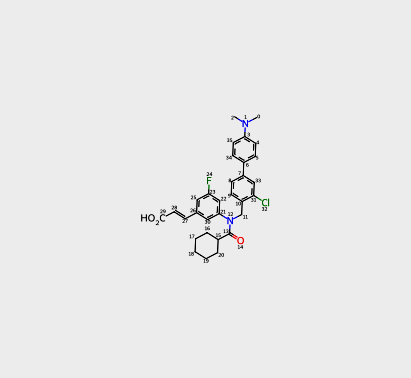 CN(C)c1ccc(-c2ccc(CN(C(=O)C3CCCCC3)c3cc(F)cc(C=CC(=O)O)c3)c(Cl)c2)cc1